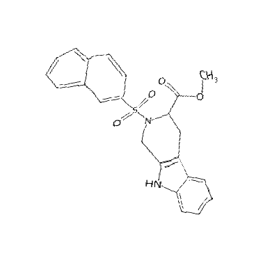 COC(=O)C1Cc2c([nH]c3ccccc23)CN1S(=O)(=O)c1ccc2ccccc2c1